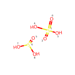 O=S(=O)(O)O.O=S(O)O